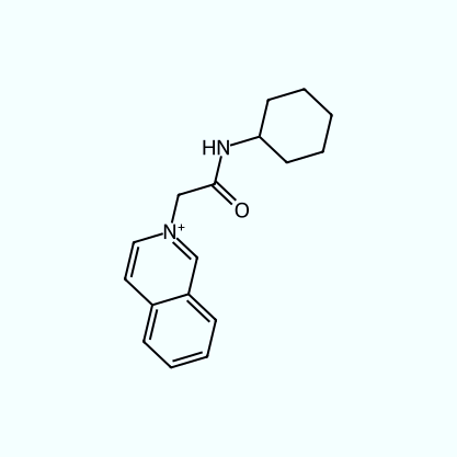 O=C(C[n+]1ccc2ccccc2c1)NC1CCCCC1